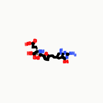 Nc1nc(O)c2c(n1)NCC(CCc1ccc(C(=O)N[C@@H](CCC(=O)O)C(=O)O)o1)C2